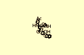 CC(=O)N1CCC(Nc2cc(C(=O)N3CC[C@@H](N4CCc5ccccc5C4)[C@H](O)C3)nc(C3CNCCO3)n2)CC1